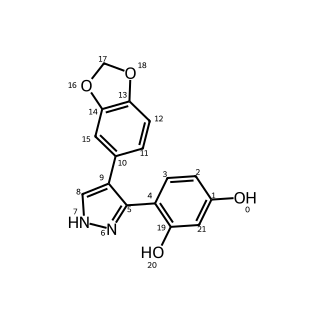 Oc1ccc(-c2n[nH]cc2-c2ccc3c(c2)OCO3)c(O)c1